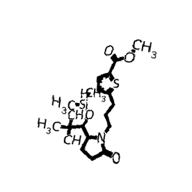 COC(=O)c1ccc(CCCN2C(=O)CCC2C(O[SiH](C)C)C(C)(C)C)s1